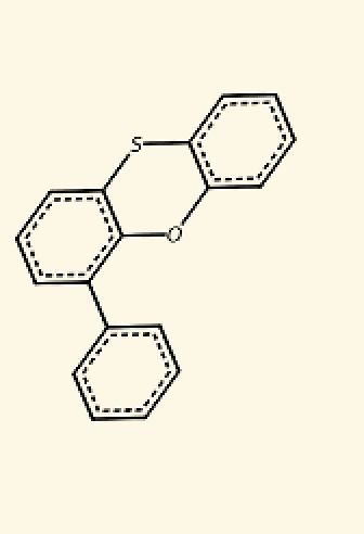 c1ccc(-c2cccc3c2Oc2ccccc2S3)cc1